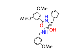 COc1cccc(CNC[C@@H](O)[C@H](Cc2ccccc2)NC(=O)c2cc(OC)cc(OC)c2)c1